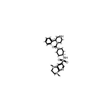 CN1CCN(C)c2ncc(S(=O)(=O)N[C@H]3CC[C@H](C(=O)N4CCNCC4c4ccccc4)CC3)cc21